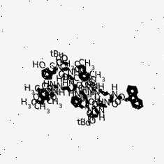 Cc1c(C)c(S(=O)(=O)NC(=N)NCCC[C@H](NC(=O)OCC2c3ccccc3-c3ccccc32)C(=O)NCC(=O)N[C@@H](CC(=O)OC(C)(C)C)C(=O)N[C@H](Cc2ccccc2)C(=O)N[C@H](C(=O)N[C@@H](CCCNC(=N)NS(=O)(=O)c2c(C)c(C)c3c(c2C)CC(C)(C)O3)C(=O)NCC(=O)N[C@@H](CC(=O)OC(C)(C)C)C(=O)N[C@H](Cc2ccccc2)C(=O)O)C(C)C)c(C)c2c1OC(C)(C)C2